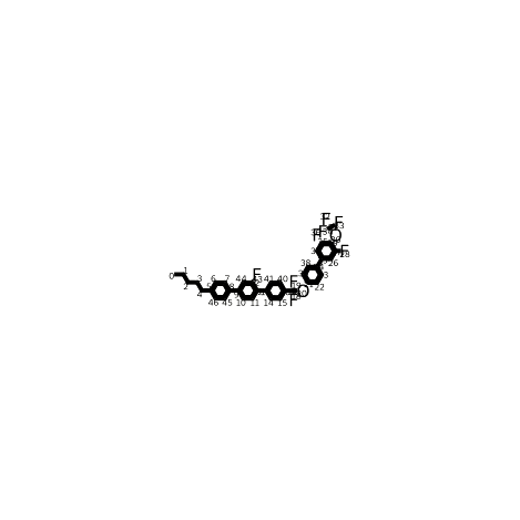 CCCCCc1ccc(-c2ccc(-c3ccc(C(F)(F)Oc4ccc(-c5cc(F)c(OC(F)(F)F)c(F)c5)cc4)cc3)c(F)c2)cc1